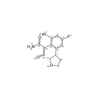 CC(C)c1cc(F)cc(C2CCOC2)c1C(=S=O)C(N)=O